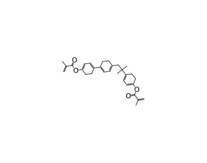 C=C(C)C(=O)OC1=CC=C(C2=CC=C(CC(C)(C)C3=CC=C(OC(=O)C(=C)C)CC3)CC2)CC1